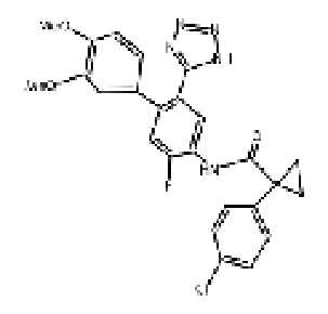 COc1ccc(-c2cc(F)c(NC(=O)C3(c4ccc(Cl)cc4)CC3)cc2-c2nnn[nH]2)cc1OC